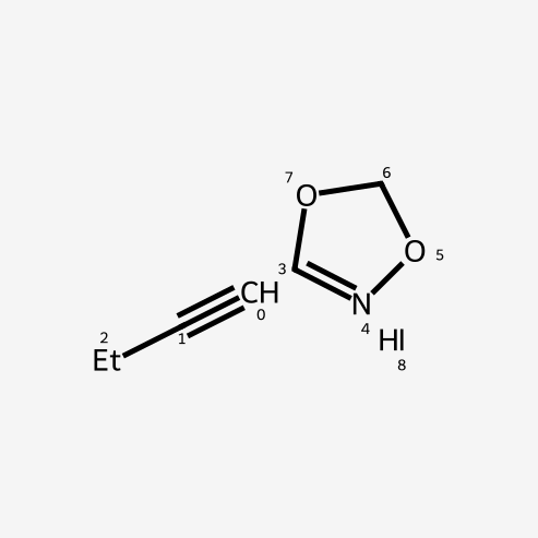 C#CCC.C1=NOCO1.I